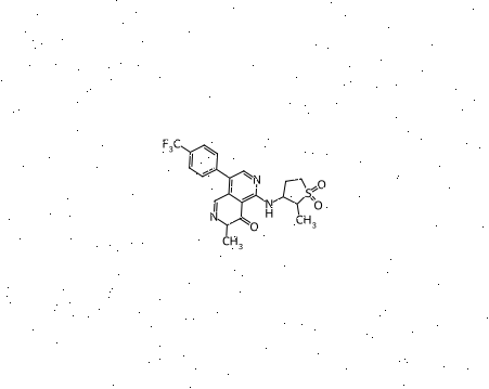 CC1N=Cc2c(-c3ccc(C(F)(F)F)cc3)cnc(NC3CCS(=O)(=O)C3C)c2C1=O